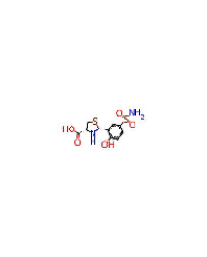 NS(=O)(=O)c1ccc(O)c(C2N[C@H](C(=O)O)CS2)c1